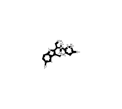 C=CC(c1oc2ccc(Cl)cc2c1CC)S(=O)(=O)c1ccc(=O)[nH]n1